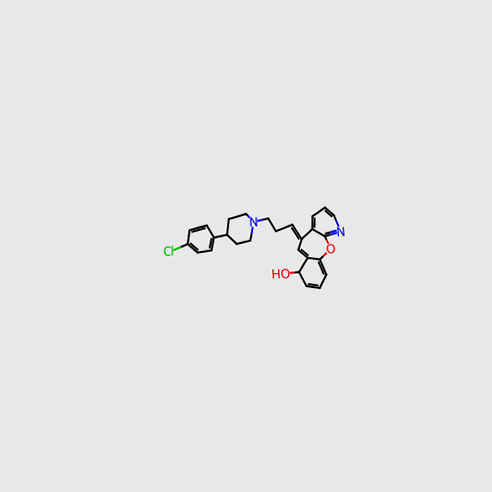 OC1C=CC=C2Oc3ncccc3C(=CCCN3CCC(c4ccc(Cl)cc4)CC3)C=C21